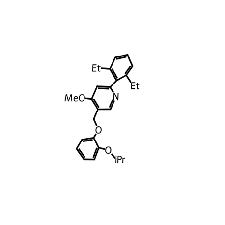 CCc1cccc(CC)c1-c1cc(OC)c(COc2ccccc2OC(C)C)cn1